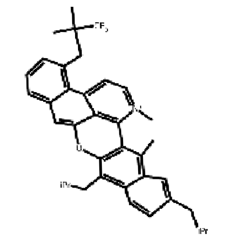 Cc1c2c(c(CC(C)C)c3ccc(CC(C)C)cc13)Oc1cc3cccc(CC(C)(C)C(F)(F)F)c3c3cc[n+](C)c-2c13